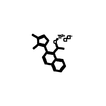 CC1=CCC(c2ccc3ccccc3c2C(C)[O][Ti+2])=C1C.[Cl-].[Cl-]